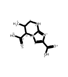 CC1CNc2nc(C(=O)O)cn2C1C(=O)O